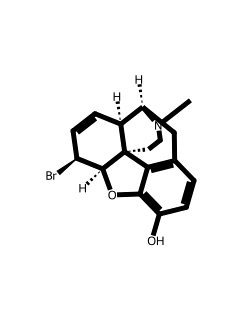 CN1CC[C@]23c4c5ccc(O)c4O[C@H]2[C@@H](Br)C=C[C@H]3[C@H]1C5